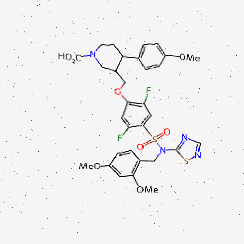 COc1ccc(C2CCN(C(=O)O)CC2COc2cc(F)c(S(=O)(=O)N(Cc3ccc(OC)cc3OC)c3ncns3)cc2F)cc1